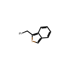 CC(C)Cc1scc2ccccc12